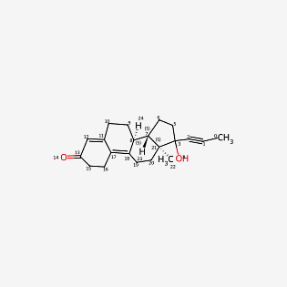 CC#CC1(O)CC[C@H]2[C@@H]3CCC4=CC(=O)CCC4=C3CC[C@@]21C